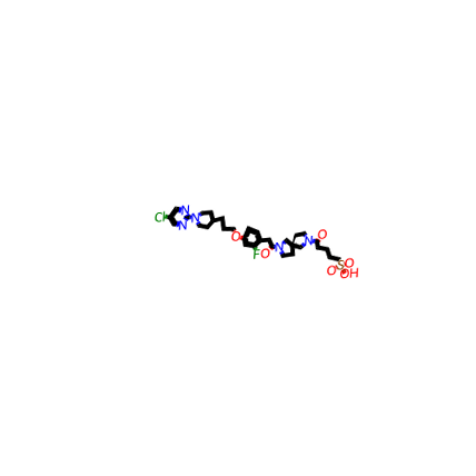 O=C(CCCCS(=O)(=O)O)N1CC[C@]2(CCN(C(=O)Cc3ccc(OCCCC4CCN(c5ncc(Cl)cn5)CC4)cc3F)C2)C1